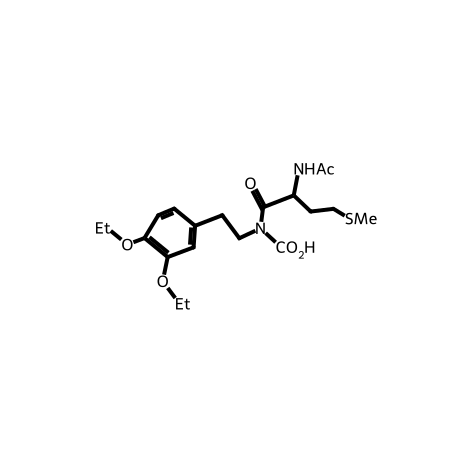 CCOc1ccc(CCN(C(=O)O)C(=O)C(CCSC)NC(C)=O)cc1OCC